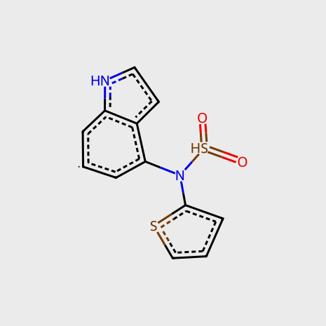 O=[SH](=O)N(c1cccs1)c1c[c]cc2[nH]ccc12